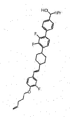 C=CCCCOc1ccc(/C=C/C2CCC(c3ccc(-c4ccc(C(O)CCC)cc4)c(F)c3F)CC2)cc1F